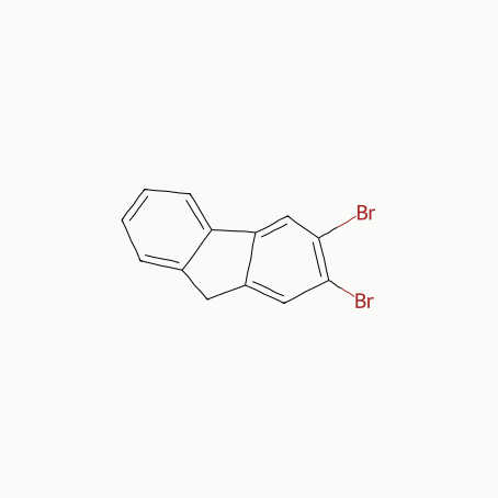 Brc1cc2c(cc1Br)-c1ccccc1C2